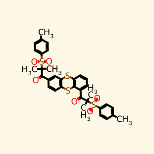 Cc1ccc(S(=O)(=O)C(C)(C)C(=O)c2ccc3c(c2)Sc2cccc(C(=O)C(C)(C)S(=O)(=O)c4ccc(C)cc4)c2S3)cc1